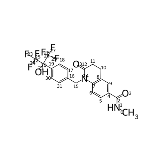 CNC(=O)c1ccc2c(c1)CCC(=O)N2Cc1ccc(C(O)(C(F)(F)F)C(F)(F)F)cc1